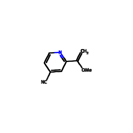 C=C(OC)c1cc(C#N)ccn1